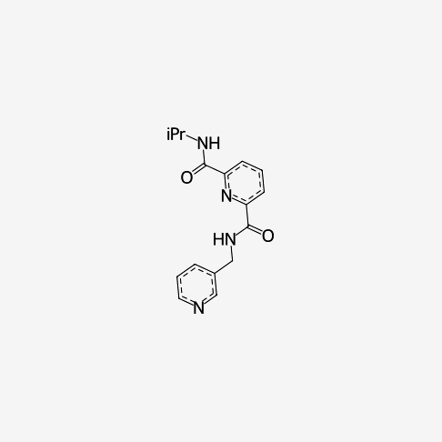 CC(C)NC(=O)c1cccc(C(=O)NCc2cccnc2)n1